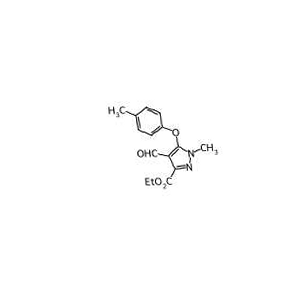 CCOC(=O)c1nn(C)c(Oc2ccc(C)cc2)c1C=O